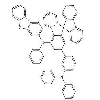 c1ccc(N(c2ccccc2)c2cccc(-c3cc(N(c4ccccc4)c4ccc5c(c4)oc4ccccc45)c4c(c3)C3(c5ccccc5-c5ccccc53)c3ccccc3-4)c2)cc1